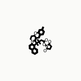 C=c1ccc2c(c1)OC1CCN3C(=C1C=2)C(C)(C(C)(C)CC(=O)ON1C(=O)CCC1=O)c1c3ccc2ccccc12